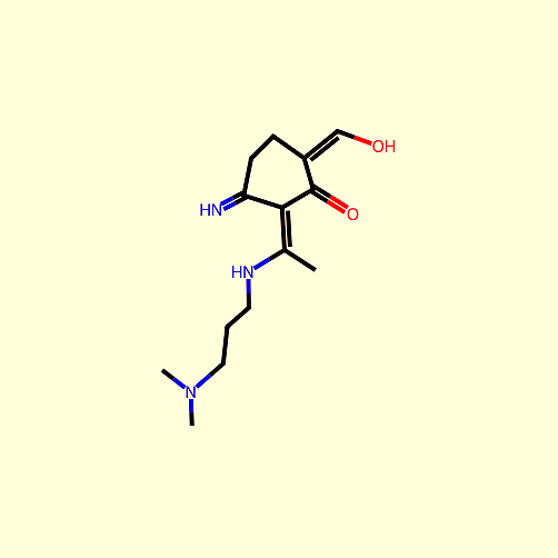 C/C(NCCCN(C)C)=C1/C(=N)CC/C(=C/O)C1=O